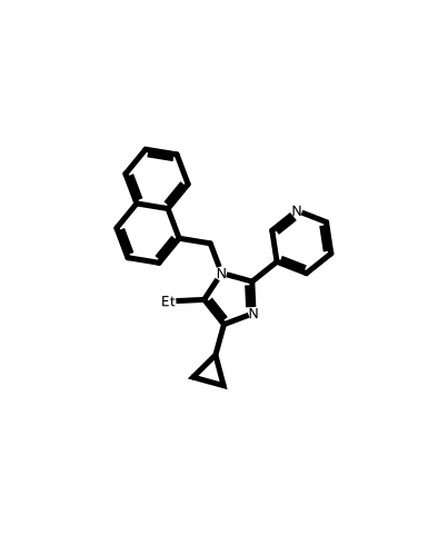 [CH2]Cc1c(C2CC2)nc(-c2cccnc2)n1Cc1cccc2ccccc12